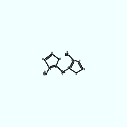 CCC1=[C]([Sn][C]2=C(CC)C=CC2)CC=C1